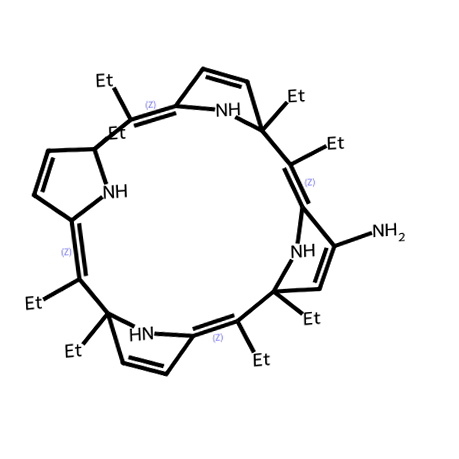 CC/C1=C2\C=CC(CC)(N2)/C(CC)=C2/C=CC(CC)(N2)/C(CC)=C2\NC(CC)(C=C2N)/C(CC)=C2/C=CC1(CC)N2